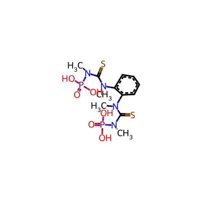 CN(C(=S)N(C)P(=O)(O)O)c1ccccc1N(C)C(=S)N(C)P(=O)(O)O